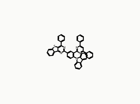 c1ccc(-c2cc(-c3ccccc3)nc(-c3cc(-c4nc(-c5ccccc5)c5sc6ccccc6c5n4)ccc3-n3c4ccccc4c4ccccc43)n2)cc1